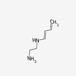 C=CC=CNCCN